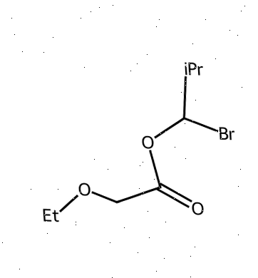 CCOCC(=O)OC(Br)C(C)C